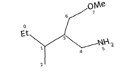 CCC(C)C(CN)COC